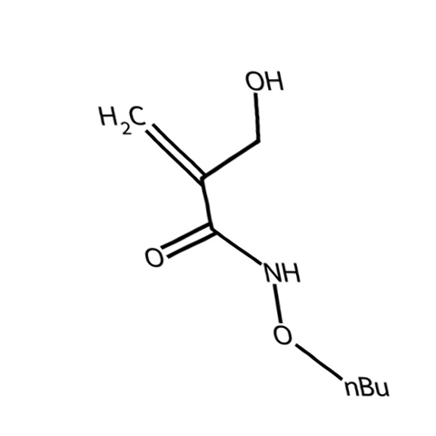 C=C(CO)C(=O)NOCCCC